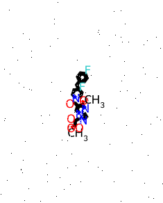 COC(=O)C(=O)c1ncc2nc(OC)c(C(=O)N3CCC(F)(Cc4ccc(F)cc4)CC3)cn12